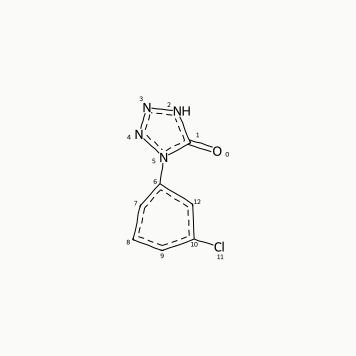 O=c1[nH]nnn1-c1cccc(Cl)c1